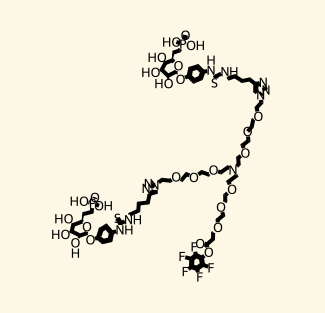 O=C(CCOCCOCCOCCN(CCOCCOCCOCCn1cc(CCCCNC(=S)Nc2ccc(O[C@H]3O[C@H](CCP(=O)(O)O)[C@@H](O)[C@H](O)[C@@H]3O)cc2)nn1)CCOCCOCCOCCn1cc(CCCCNC(=S)Nc2ccc(O[C@H]3O[C@H](CCP(=O)(O)O)[C@@H](O)[C@H](O)[C@@H]3O)cc2)nn1)Oc1c(F)c(F)c(F)c(F)c1F